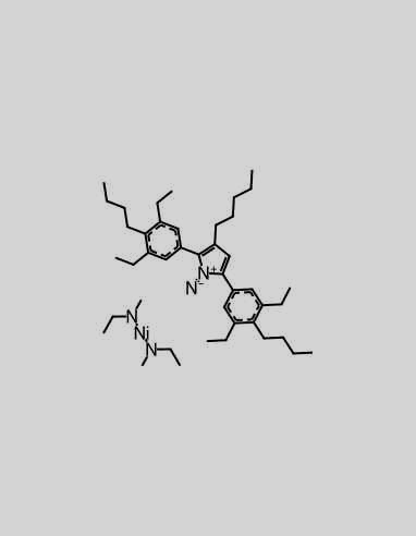 CCCCCC1=C(c2cc(CC)c(CCCC)c(CC)c2)[N+](=[N-])C(c2cc(CC)c(CCCC)c(CC)c2)=C1.CC[N](C)[Ni][N](C)CC